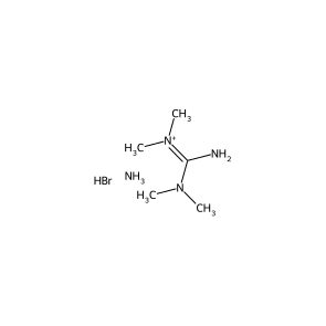 Br.CN(C)C(N)=[N+](C)C.N